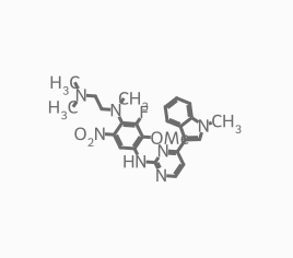 COc1c(Nc2nccc(-c3cn(C)c4ccccc34)n2)cc([N+](=O)[O-])c(N(C)CCN(C)C)c1F